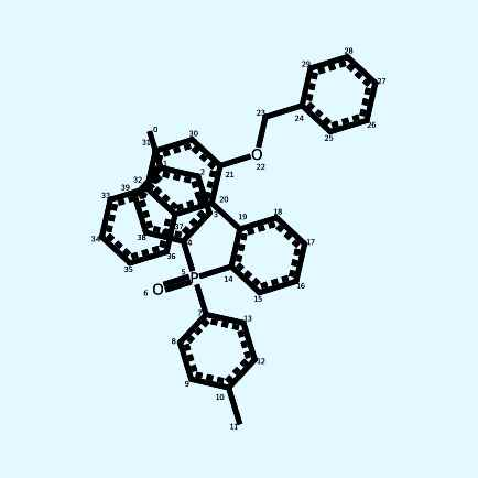 Cc1ccc(P(=O)(c2ccc(C)cc2)c2ccccc2-c2c(OCc3ccccc3)ccc3ccccc23)cc1